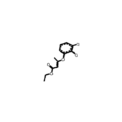 CCOC(=O)/C=C(\C)Oc1cccc(Cl)c1Cl